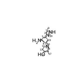 CC1=CN(c2cc(N)cc(CN3CCC(O)C(C)C3)c2)CN1